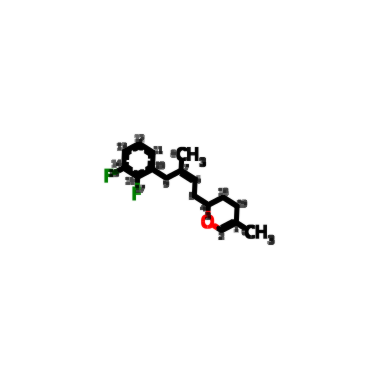 CC1=COC(C/C=C(/C)Cc2cccc(F)c2F)CC1